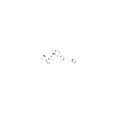 Cc1cn(-c2ccnc3[nH]c(-c4n[nH]c5ccc(-c6cncc(CNCc7ccccc7)c6)nc45)nc23)cn1